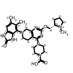 Cc1cc2[nH]c(=O)[nH]c2c(N2CCc3c(nc(OC[C@@H]4CCCN4C)nc3N3CCN(C(=O)O)CC3)C2)c1C